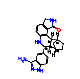 Nc1n[nH]c2ccc([C@@H]3Nc4ccc5c(c4[C@H]4[C@@H]6CC[C@@H](C6)[C@H]43)C(=O)NC5)cc12